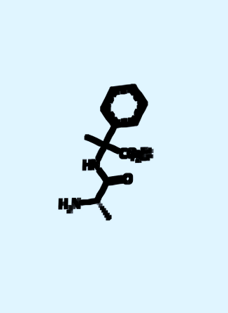 CCOC(=O)C(C)(NC(=O)[C@H](C)N)c1ccccc1.Cl